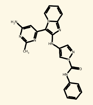 Cc1nc(N)cc(-c2c(Nc3cnn(C(=O)Nc4ccccc4)c3)nc3ccccn23)n1